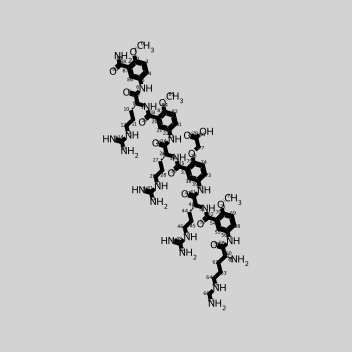 COc1ccc(NC(=O)[C@@H](CCCNC(=N)N)NC(=O)c2cc(NC(=O)[C@@H](CCCNC(=N)N)NC(=O)c3cc(NC(=O)[C@@H](CCCNC(=N)N)NC(=O)c4cc(NC(=O)[C@H](N)CCCNCN)ccc4OC)ccc3OCC(=O)O)ccc2OC)cc1C(N)=O